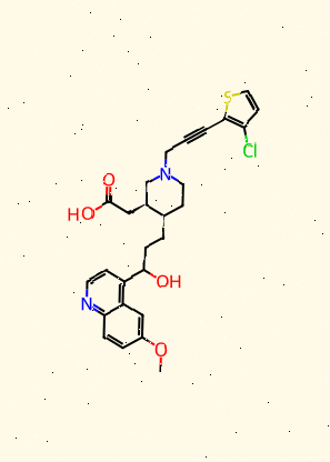 COc1ccc2nccc(C(O)CC[C@@H]3CCN(CC#Cc4sccc4Cl)C[C@@H]3CC(=O)O)c2c1